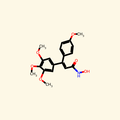 COc1ccc(/C(=C\C(=O)NO)c2cc(OC)c(OC)c(OC)c2)cc1